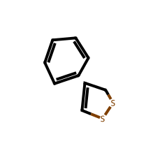 C1=CSSC1.c1ccccc1